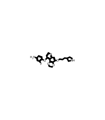 Nc1ccc(Oc2ccnc3cc(OCCCC4CCNC4)c4c(c23)OCCO4)c(F)c1